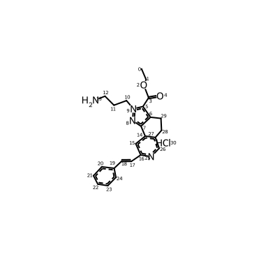 CCOC(=O)c1c2c(nn1CCCN)-c1cc(C=Cc3ccccc3)ncc1CC2.Cl